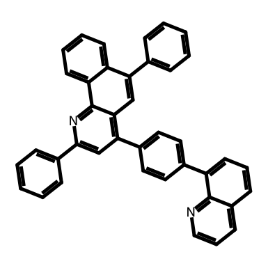 c1ccc(-c2cc(-c3ccc(-c4cccc5cccnc45)cc3)c3cc(-c4ccccc4)c4ccccc4c3n2)cc1